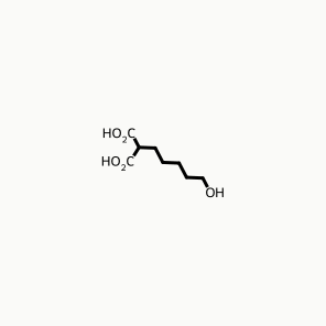 O=C(O)C(CCCCCO)C(=O)O